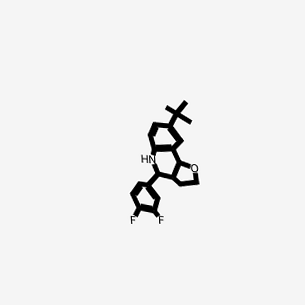 CC(C)(C)c1ccc2c(c1)C1OCCC1C(c1ccc(F)c(F)c1)N2